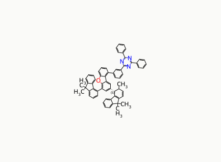 CC1C=CC2=C(c3ccccc3C2(C)C)[C@@H]1c1cc(-c2cccc3c2-c2ccccc2C3(C)C)c2oc3cccc(-c4cccc(-c5nc(-c6ccccc6)nc(-c6ccccc6)n5)c4)c3c2c1